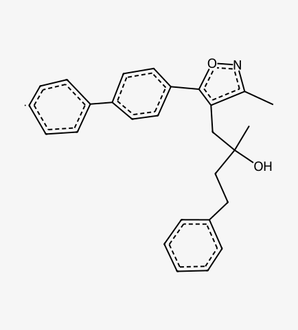 Cc1noc(-c2ccc(-c3cc[c]cc3)cc2)c1CC(C)(O)CCc1ccccc1